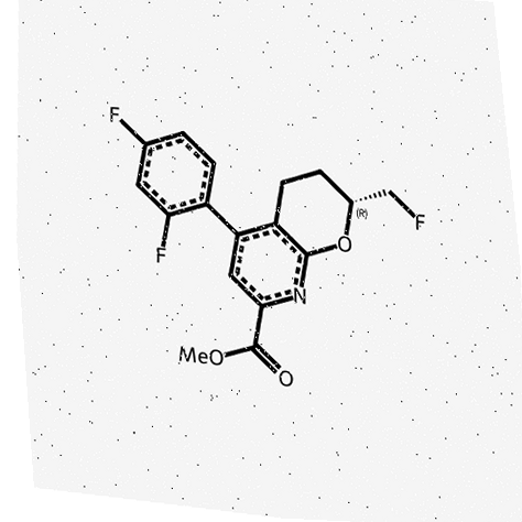 COC(=O)c1cc(-c2ccc(F)cc2F)c2c(n1)O[C@@H](CF)CC2